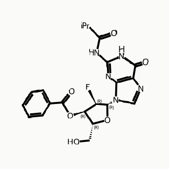 CC(C)C(=O)Nc1nc2c(ncn2[C@@H]2O[C@H](CO)[C@@H](OC(=O)c3ccccc3)[C@H]2F)c(=O)[nH]1